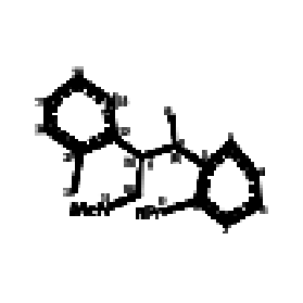 CCCc1ccccc1[C@H](C)[C@@H](CNC)c1ncccc1C